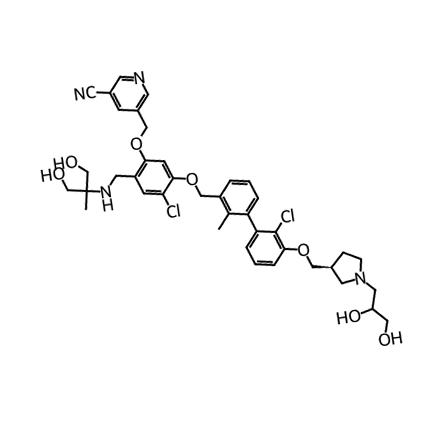 Cc1c(COc2cc(OCc3cncc(C#N)c3)c(CNC(C)(CO)CO)cc2Cl)cccc1-c1cccc(OC[C@H]2CCN(CC(O)CO)C2)c1Cl